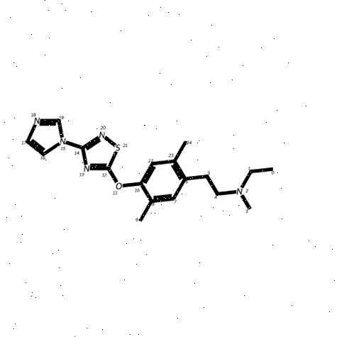 CCN(C)CCc1cc(C)c(Oc2nc(-n3ccnc3)ns2)cc1C